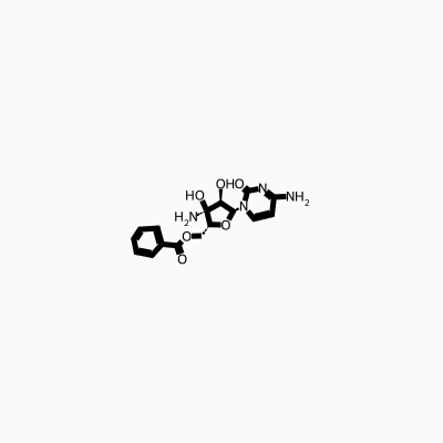 Nc1ccn([C@@H]2O[C@H](COC(=O)c3ccccc3)[C@@](N)(O)[C@H]2O)c(=O)n1